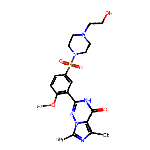 CCCc1nc(CC)c2c(=O)[nH]c(-c3cc(S(=O)(=O)N4CCN(CCO)CC4)ccc3OCC)nn12